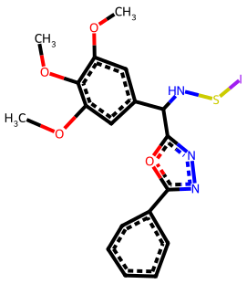 COc1cc(C(NSI)c2nnc(-c3ccccc3)o2)cc(OC)c1OC